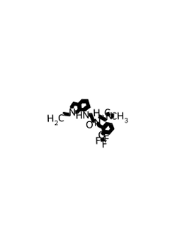 C=CCN1CCc2cccc(NCC(=O)N(CCN(C)C)Cc3ccccc3OC(F)(F)F)c2C1